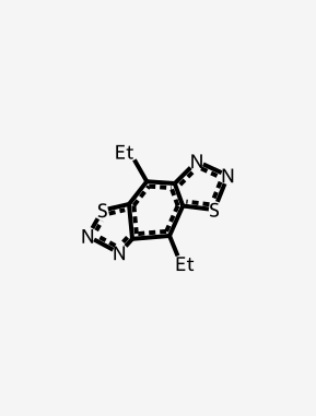 CCc1c2nnsc2c(CC)c2nnsc12